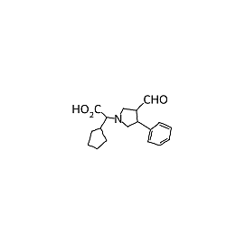 O=CC1CN(C(C(=O)O)C2CCCC2)CC1c1ccccc1